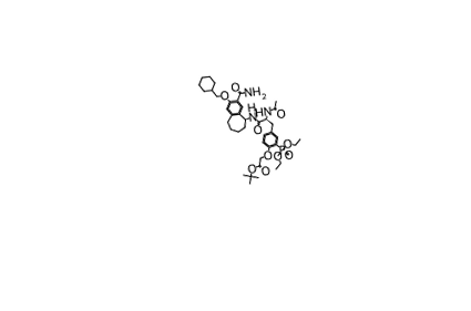 CCOP(=O)(OCC)c1cc(C[C@H](NC(C)=O)C(=O)N[C@H]2CCCCc3cc(OCC4CCCCC4)c(C(N)=O)cc32)ccc1OCC(=O)OC(C)(C)C